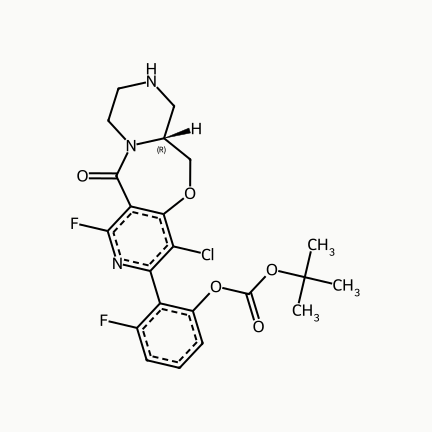 CC(C)(C)OC(=O)Oc1cccc(F)c1-c1nc(F)c2c(c1Cl)OC[C@H]1CNCCN1C2=O